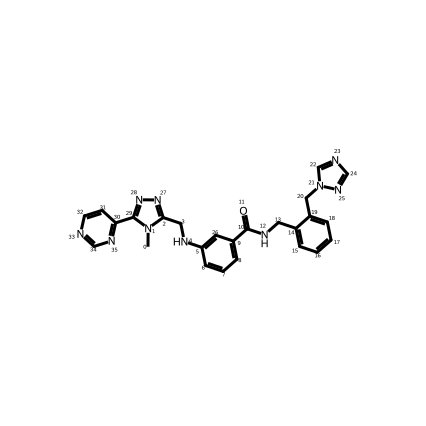 Cn1c(CNc2cccc(C(=O)NCc3ccccc3Cn3cncn3)c2)nnc1-c1ccncn1